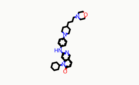 O=c1ccc2cnc(Nc3ccc(N4CCC(CCCN5CCOCC5)CC4)cc3)cc2n1C1CCCCC1